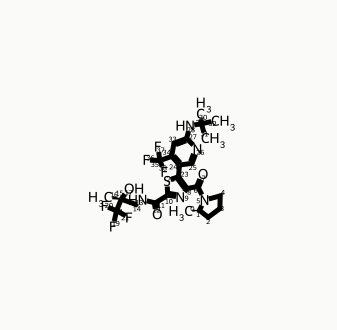 C[C@H]1CCCN1C(=O)c1nc(C(=O)NC[C@@](C)(O)C(F)(F)F)sc1-c1cnc(NC(C)(C)C)cc1C(F)(F)F